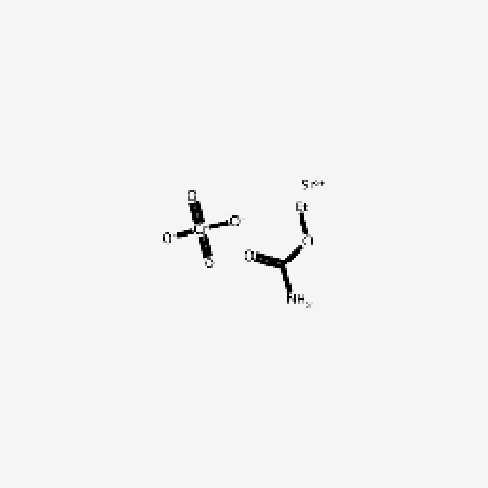 CCOC(N)=O.[O]=[Cr](=[O])([O-])[O-].[Sr+2]